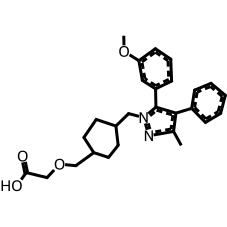 COc1cccc(-c2c(-c3ccccc3)c(C)nn2CC2CCC(COCC(=O)O)CC2)c1